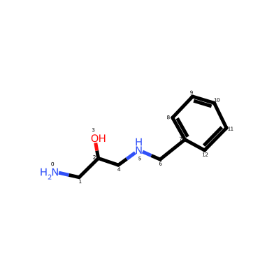 NCC(O)CNCc1ccccc1